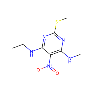 CCNc1nc(SC)nc(NC)c1[N+](=O)[O-]